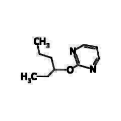 CCCC(CC)Oc1ncccn1